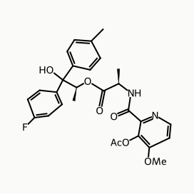 COc1ccnc(C(=O)N[C@H](C)C(=O)O[C@@H](C)C(O)(c2ccc(C)cc2)c2ccc(F)cc2)c1OC(C)=O